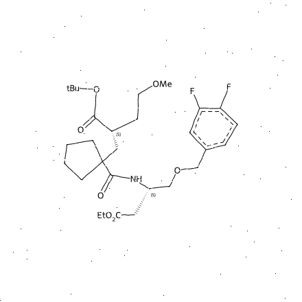 CCOC(=O)C[C@@H](COCc1ccc(F)c(F)c1)NC(=O)C1(C[C@@H](CCOC)C(=O)OC(C)(C)C)CCCC1